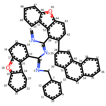 C=N/C(=N\C(=N/Cc1ccccc1)c1cccc2oc3ccccc3c12)c1c(-c2ccc3ccc4ccccc4c3c2)ccc2oc3ccccc3c12